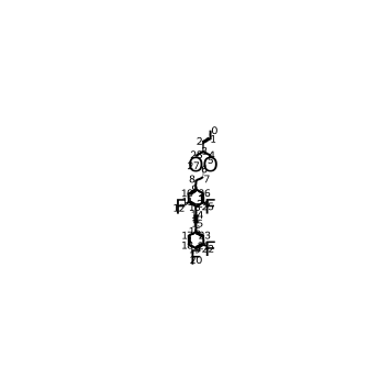 CC=C[C@H]1CO[C@H](CCc2cc(F)c(C#Cc3ccc(F)c(F)c3)c(F)c2)OC1